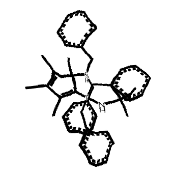 CC1=C(C)C(C)([SiH](Cc2ccccc2)Cc2ccccc2)[C]([Ti]([CH2]c2ccccc2)([CH2]c2ccccc2)[NH]C(C)(C)C)=C1C